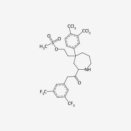 CS(=O)(=O)OCCC1(c2ccc(C(Cl)(Cl)Cl)c(C(Cl)(Cl)Cl)c2)CCCNC(C(=O)Cc2cc(C(F)(F)F)cc(C(F)(F)F)c2)C1